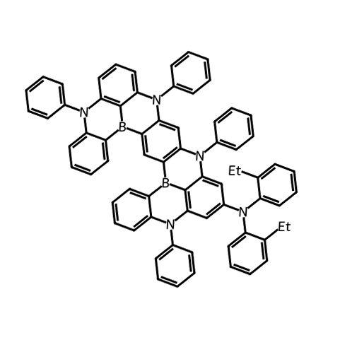 CCc1ccccc1N(c1cc2c3c(c1)N(c1ccccc1)c1cc4c(cc1B3c1ccccc1N2c1ccccc1)B1c2ccccc2N(c2ccccc2)c2cccc(c21)N4c1ccccc1)c1ccccc1CC